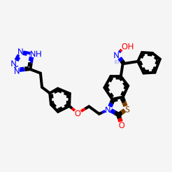 O=c1sc2cc(/C(=N/O)c3ccccc3)ccc2n1CCOc1ccc(CCc2nnn[nH]2)cc1